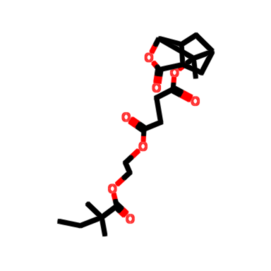 CCC(C)(C)C(=O)OCCOC(=O)CCC(=O)OC1(C)C2CC3C(=O)OC1C3C2